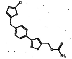 NC(=O)OCc1cc(-c2ccc(Cc3ccc(Cl)s3)cc2)no1